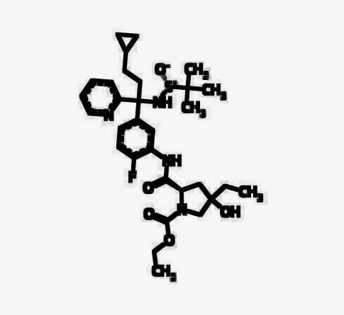 CCOC(=O)N1CC(O)(CC)C[C@@H]1C(=O)Nc1cc(C(CCC2CC2)(N[S@+]([O-])C(C)(C)C)c2ccccn2)ccc1F